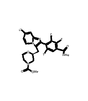 CNC(=O)c1cc(F)c(-c2nc3cc(Cl)ccn3c2C[C@H]2CN(C(=O)OC)CCO2)c(F)c1F